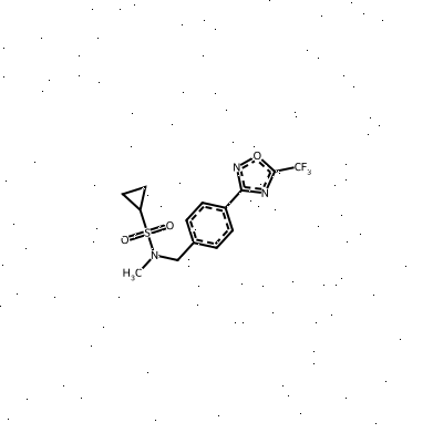 CN(Cc1ccc(-c2noc(C(F)(F)F)n2)cc1)S(=O)(=O)C1CC1